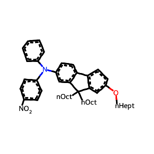 CCCCCCCCC1(CCCCCCCC)c2cc(OCCCCCCC)ccc2-c2ccc(N(c3ccccc3)c3ccc([N+](=O)[O-])cc3)cc21